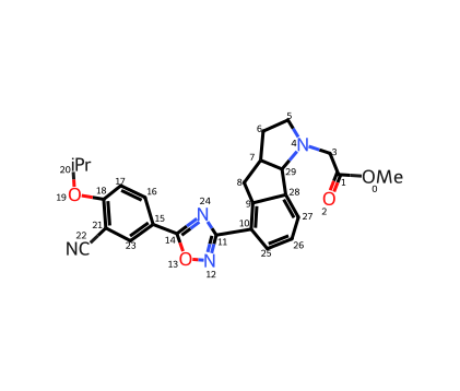 COC(=O)CN1CCC2Cc3c(-c4noc(-c5ccc(OC(C)C)c(C#N)c5)n4)cccc3C21